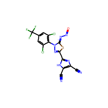 N#Cc1nc(-c2nn(-c3c(Cl)cc(C(F)(F)F)cc3Cl)/c(=N/N=O)s2)[nH]c1C#N